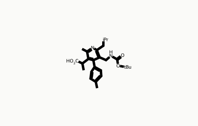 Cc1ccc(-c2c(CNC(=O)OC(C)(C)C)c(CC(C)C)nc(C)c2C(C)C(=O)O)cc1